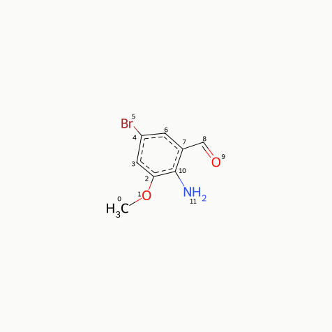 COc1cc(Br)cc(C=O)c1N